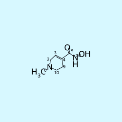 CN1CC=C(C(=O)NO)CC1